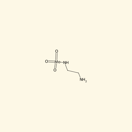 NCC[NH][Mo](=[O])(=[O])=[O]